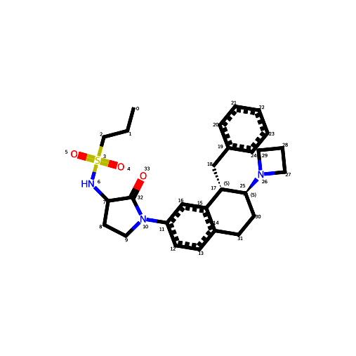 CCCS(=O)(=O)NC1CCN(c2ccc3c(c2)[C@H](Cc2ccccc2)[C@@H](N2CCC2)CC3)C1=O